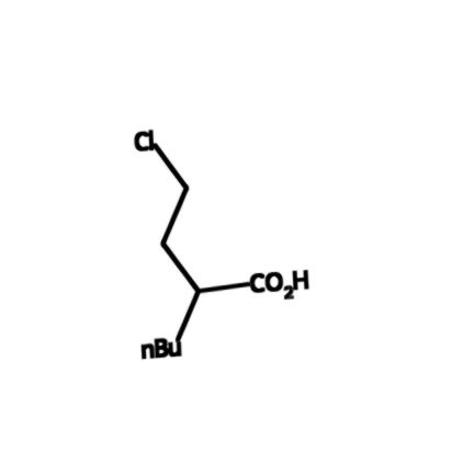 CCCCC(CCCl)C(=O)O